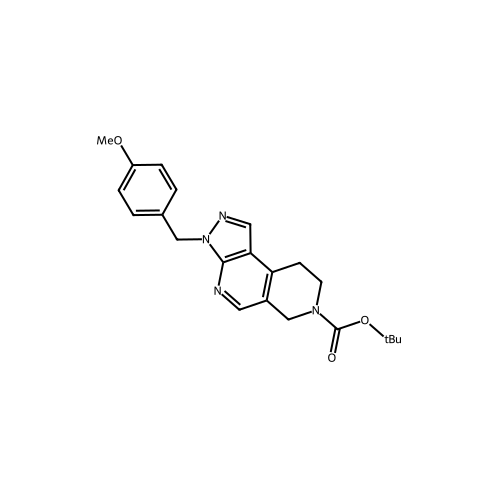 COc1ccc(Cn2ncc3c4c(cnc32)CN(C(=O)OC(C)(C)C)CC4)cc1